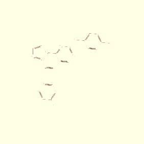 Fc1ccc(Nc2ncc3cc(Oc4ccc(F)cc4)c4nccn4c3n2)cc1